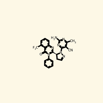 Cc1nc(N)nc(N2N=CC[C@H]2c2nc3cccc(C(F)(F)F)c3c(=O)n2-c2ccccc2)c1C#N